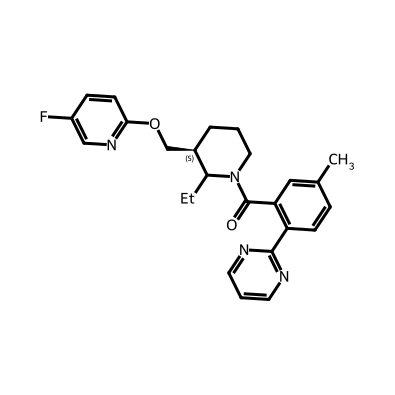 CCC1[C@@H](COc2ccc(F)cn2)CCCN1C(=O)c1cc(C)ccc1-c1ncccn1